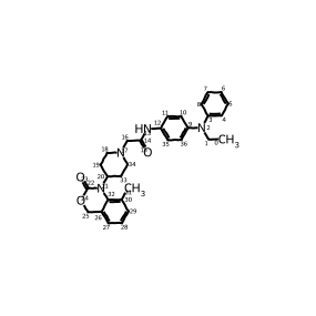 CCN(c1ccccc1)c1ccc(NC(=O)CN2CCC(N3C(=O)OCc4cccc(C)c43)CC2)cc1